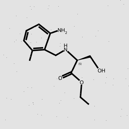 CCOC(=O)[C@H](CO)NCc1c(C)cccc1N